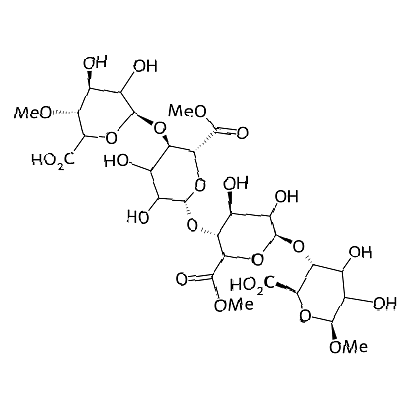 COC(=O)C1O[C@H](O[C@@H]2C(O)C(O)[C@@H](OC)O[C@H]2C(=O)O)C(O)[C@H](O)[C@H]1O[C@H]1O[C@@H](C(=O)OC)[C@H](O[C@H]2OC(C(=O)O)[C@H](OC)[C@@H](O)C2O)C(O)C1O